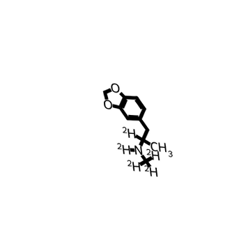 [2H]N(C([2H])([2H])[2H])C([2H])(C)Cc1ccc2c(c1)OCO2